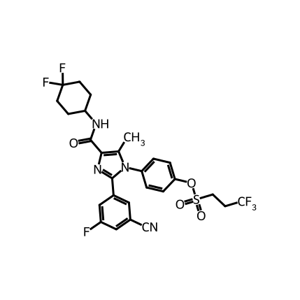 Cc1c(C(=O)NC2CCC(F)(F)CC2)nc(-c2cc(F)cc(C#N)c2)n1-c1ccc(OS(=O)(=O)CCC(F)(F)F)cc1